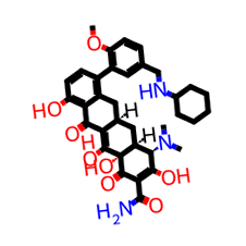 COc1ccc(CNC2CCCCC2)cc1-c1ccc(O)c2c1C[C@H]1C[C@H]3[C@H](N(C)C)C(O)=C(C(N)=O)C(=O)[C@@]3(O)C(O)=C1C2=O